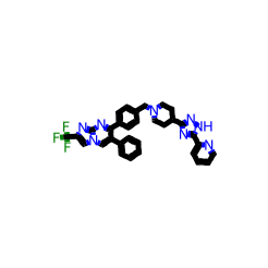 FC(F)(F)c1cn2cc(-c3ccccc3)c(-c3ccc(CN4CCC(c5n[nH]c(-c6ccccn6)n5)CC4)cc3)nc2n1